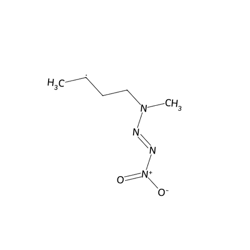 C[CH]CCN(C)N=N[N+](=O)[O-]